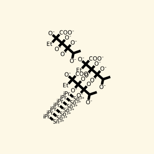 CCC([O-])(C(=O)[O-])C([O-])([O-])C([O-])([O-])C(C)[O-].CCC([O-])(C(=O)[O-])C([O-])([O-])C([O-])([O-])C(C)[O-].CCC([O-])(C(=O)[O-])C([O-])([O-])C([O-])([O-])C(C)[O-].C[CH](C)[Sn+3].C[CH](C)[Sn+3].C[CH](C)[Sn+3].C[CH](C)[Sn+3].C[CH](C)[Sn+3].C[CH](C)[Sn+3].C[CH](C)[Sn+3]